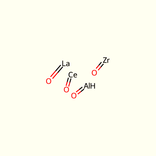 [O]=[AlH].[O]=[Ce].[O]=[La].[O]=[Zr]